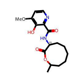 COc1ccnc(C(=O)N[C@H]2CCCCCC(C)OC2=O)c1O